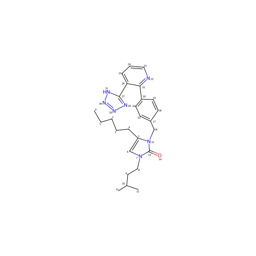 CCCCCc1cn(CCC(C)C)c(=O)n1Cc1ccc(-c2ncccc2-c2nnn[nH]2)cc1